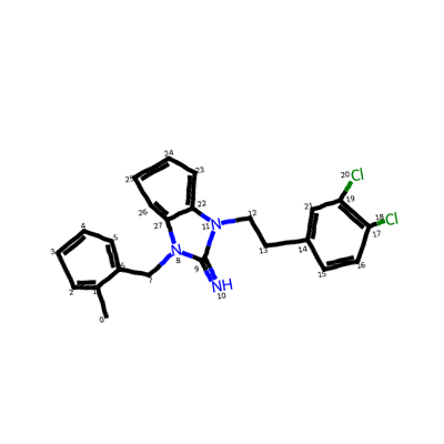 Cc1ccccc1Cn1c(=N)n(CCc2ccc(Cl)c(Cl)c2)c2ccccc21